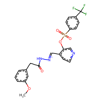 COc1cccc(CC(=O)N/N=C/c2ccncc2OS(=O)(=O)c2ccc(C(F)(F)F)cc2)c1